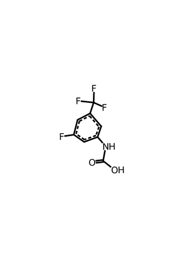 O=C(O)Nc1cc(F)cc(C(F)(F)F)c1